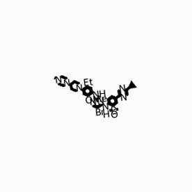 CCc1cc(Nc2ncc(Br)c(Nc3ccc(-c4cnc(C5CC5)cn4)cc3P(C)(C)=O)n2)c(OC)cc1N1CCC(N2CCN(C)CC2)CC1